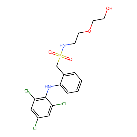 O=S(=O)(Cc1ccccc1Nc1c(Cl)cc(Cl)cc1Cl)NCCOCCO